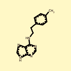 Cc1ccc(CCNc2ncnc3[nH]cnc23)cc1